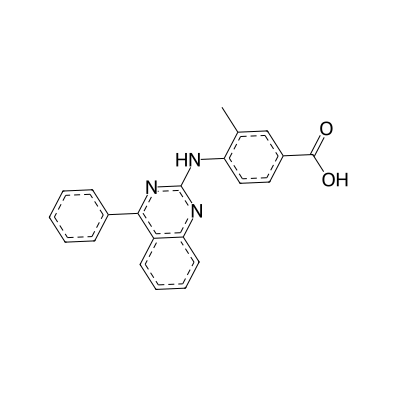 Cc1cc(C(=O)O)ccc1Nc1nc(-c2ccccc2)c2ccccc2n1